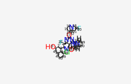 Oc1cc(-c2nc3c4c(nc(OC[C@@]56CCCN5C[C@H](F)C6)nc4c2F)N2C[C@H]4CC[C@H](N4)[C@H]2CO3)c2c(Cl)cccc2c1